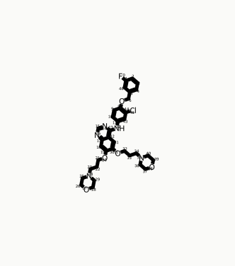 Fc1cccc(COc2ccc(Nc3ncnc4cc(OCCCN5CCOCC5)c(OCCCN5CCOCC5)cc34)cc2Cl)c1